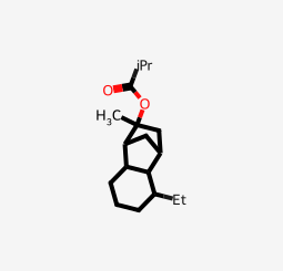 CCC1CCCC2C1C1CC2C(C)(OC(=O)C(C)C)C1